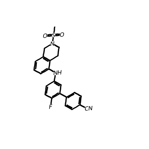 CS(=O)(=O)N1CCc2c(cccc2Nc2ccc(F)c(-c3ccc(C#N)cc3)c2)C1